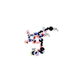 C#C[C@H]1CC(F)(F)CN1C(=O)CNC(=O)c1ccnc2ccc(OCCCC3CCN(C(=O)[C@H](CC(=O)OC)NC(=O)[C@H](CCCCNC(=O)CCCc4ccc(C)cc4)NC(=O)CN4CCN(COC=O)CCN(COC=O)CCN(CC(=O)O)CC4)CC3)cc12